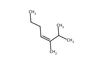 [CH2]C(=CCCC)C(C)C